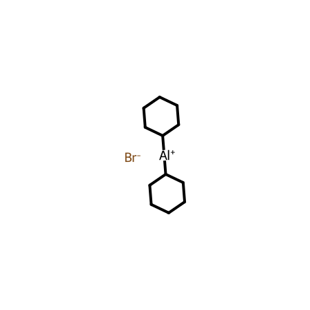 C1CC[CH]([Al+][CH]2CCCCC2)CC1.[Br-]